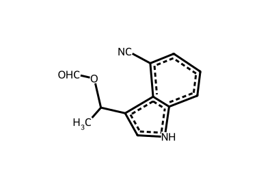 CC(OC=O)c1c[nH]c2cccc(C#N)c12